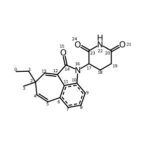 CCC1(C)C=Cc2cccc3c2C(=C1)C(=O)N3C1CCC(=O)NC1=O